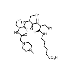 CC(C)C[C@H](NC(=O)CN1CCN(C)CC1)C(=O)N[C@@H](CC(C)C)C(=O)N[C@@H](CC(C)C)C(=O)NCCCCCC(=O)O